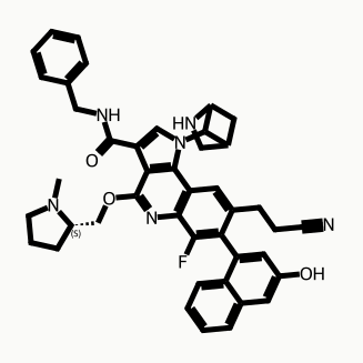 CN1CCC[C@H]1COc1nc2c(F)c(-c3cc(O)cc4ccccc34)c(CCC#N)cc2c2c1c(C(=O)NCc1ccccc1)cn2C1C2CNC1C2